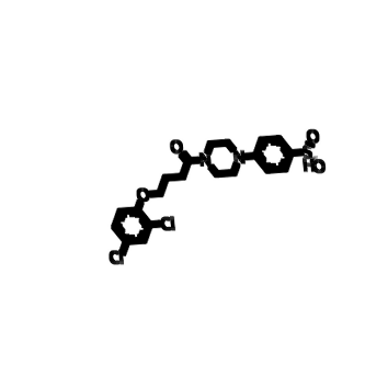 O=C(CCCOc1ccc(Cl)cc1Cl)N1CCN(c2ccc([SH](=O)=O)cc2)CC1